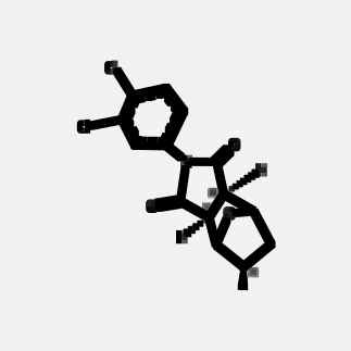 C[C@@H]1CC2OC1[C@H]1C(=O)N(c3ccc(Cl)c(Cl)c3)C(=O)[C@@H]21